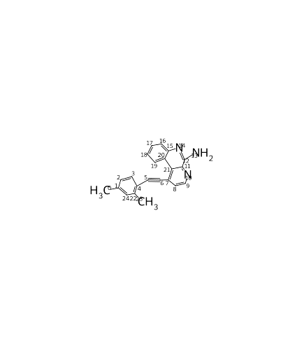 Cc1ccc(C#Cc2ccnc3c(N)nc4ccccc4c23)c(C)c1